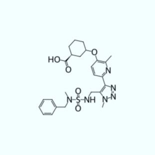 Cc1nc(-c2nnn(C)c2CNS(=O)(=O)N(C)Cc2ccccc2)ccc1OC1CCC[C@H](C(=O)O)C1